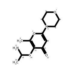 Cc1oc(N2CCOCC2)cc(=O)c1SC(C)N